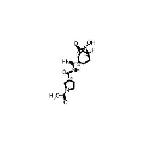 CC(=O)N1CC[C@H](C(=O)NC(=N)[C@@H]2CC[C@@H]3CN2C(=O)N3O)C1